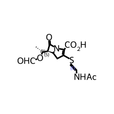 CC(=O)N/C=C/SC1=C(C(=O)O)N2C(=O)[C@H]([C@@H](C)OC=O)C2C1